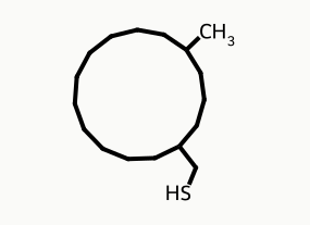 CC1CCCCCCCCCCC(CS)CCC1